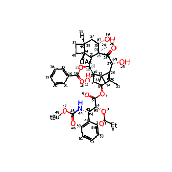 CCC(=O)O[C@@H](C(=O)O[C@H]1C[C@@]2(O)[C@@H](OC(=O)c3ccccc3)C3[C@](C)(C(=O)[C@H](O)C(=C1C)C2(C)C)[C@@H](O)C[C@H]1CC[C@@]31OC(C)=O)[C@@H](NC(=O)OC(C)(C)C)c1ccccc1